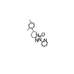 Cc1ccc(C2CCc3nn(-c4ccccn4)c(=O)n3C2)c(C)c1